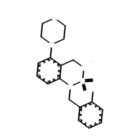 Cl.O=S1(=O)NCc2c(N3CCNCC3)cccc2N1Cc1ccccc1Cl